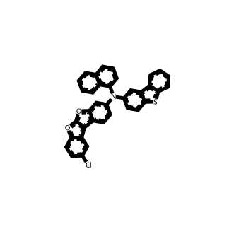 Clc1ccc2oc3oc4cc(N(c5ccc6sc7ccccc7c6c5)c5cccc6ccccc56)ccc4c3c2c1